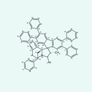 CC(=O)C1[C@@H](C)C2(c3cc(-c4ccccc4)c(-c4ccccc4)cc3-c3cc(-c4ccccc4)c(-c4ccccc4)cc32)[C@@]2(CCc3ccccc3)c3ccccc3CCN12